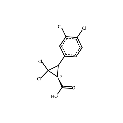 O=C(O)[C@@H]1C(c2ccc(Cl)c(Cl)c2)C1(Cl)Cl